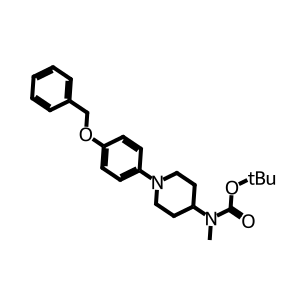 CN(C(=O)OC(C)(C)C)C1CCN(c2ccc(OCc3ccccc3)cc2)CC1